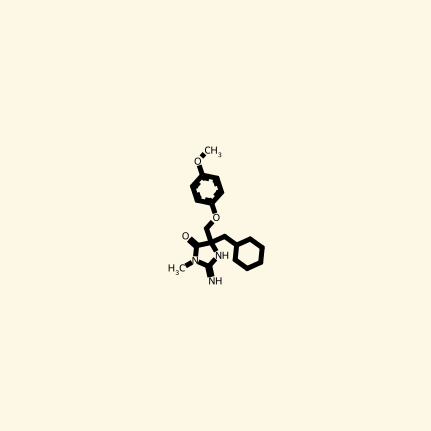 COc1ccc(OCC2(CC3CCCCC3)NC(=N)N(C)C2=O)cc1